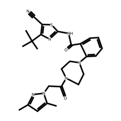 Cc1cc(C)n(CC(=O)N2CCN(c3ccccc3C(=O)Nc3nc(C(C)(C)C)c(C#N)s3)CC2)n1